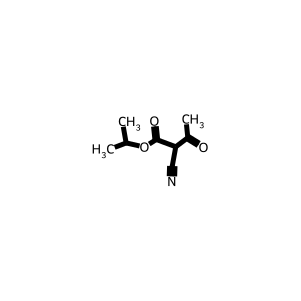 CC(=O)C(C#N)C(=O)OC(C)C